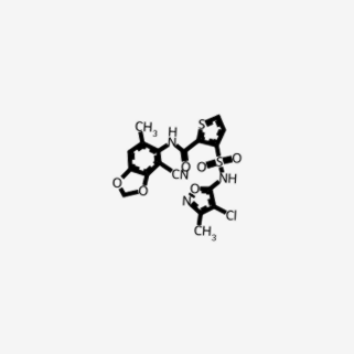 Cc1cc2c(c(C#N)c1NC(=O)c1sccc1S(=O)(=O)Nc1onc(C)c1Cl)OCO2